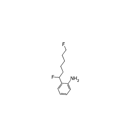 Nc1ccccc1C(F)CCCCCF